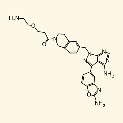 NCCOCCC(=O)N1CCc2cc(Cn3nc(-c4ccc5oc(N)nc5c4)c4c(N)ncnc43)ccc2C1